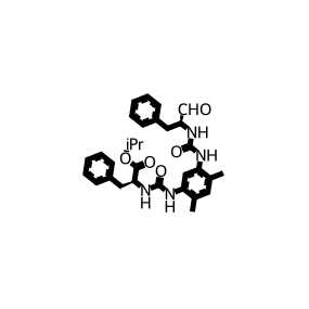 Cc1cc(C)c(NC(=O)N[C@@H](Cc2ccccc2)C(=O)OC(C)C)cc1NC(=O)N[C@H](C=O)Cc1ccccc1